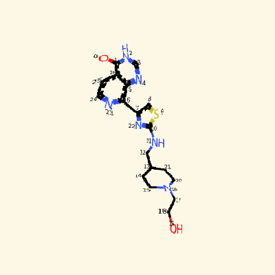 O=c1[nH]cnc2c(-c3csc(NCC4CCN(CCO)CC4)n3)nccc12